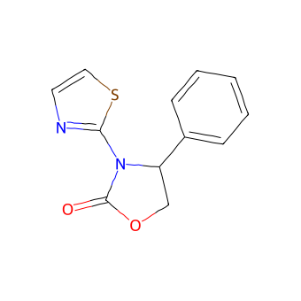 O=C1OCC(c2ccccc2)N1c1nccs1